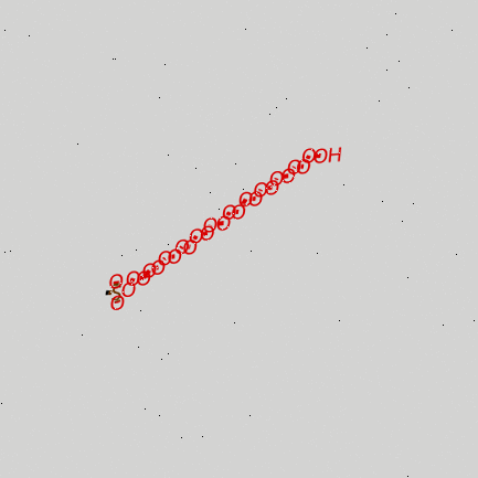 CS(=O)(=O)OOOOOOOOOOOOOOOOOOOOOOOOO